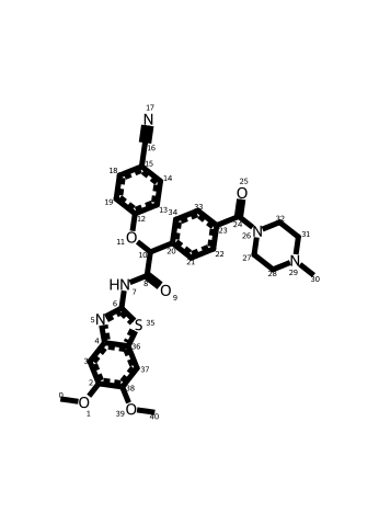 COc1cc2nc(NC(=O)C(Oc3ccc(C#N)cc3)c3ccc(C(=O)N4CCN(C)CC4)cc3)sc2cc1OC